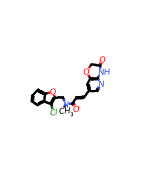 CN(Cc1oc2ccccc2c1Cl)C(=O)C=Cc1cnc2c(c1)OCC(=O)N2